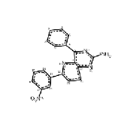 Nc1nc(-c2ccccc2)c2nc(-c3cccc([N+](=O)[O-])c3)ccc2n1